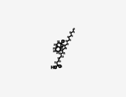 CCCCCCCCCCCCCCCCCC(=O)O.O=c1ccc2ccccc2o1